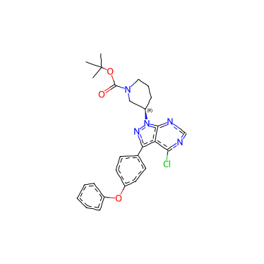 CC(C)(C)OC(=O)N1CCC[C@@H](n2nc(-c3ccc(Oc4ccccc4)cc3)c3c(Cl)ncnc32)C1